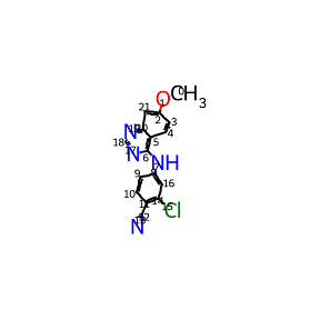 COc1[c]cc2c(Nc3ccc(C#N)c(Cl)c3)ncnc2c1